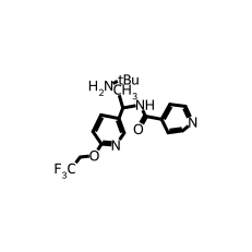 CC(C)(C)N.CC(NC(=O)c1ccncc1)c1ccc(OCC(F)(F)F)nc1